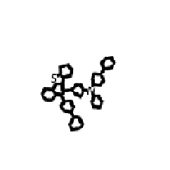 c1ccc(-c2ccc(-c3c(-c4ccc(N(c5ccccc5)c5ccc(-c6ccccc6)cc5)cc4)c4c5ccccc5sc4c4ccccc34)cc2)cc1